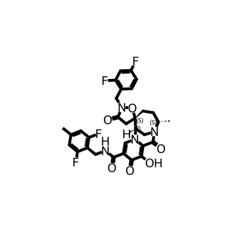 Cc1cc(F)c(CNC(=O)c2cn3c(c(O)c2=O)C(=O)N2C[C@@H]3[C@]3(CC[C@@H]2C)CC(=O)N(Cc2ccc(F)cc2F)O3)c(F)c1